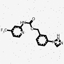 O=C(Nc1cc(C(F)(F)F)ccn1)OCc1cccc(-n2cn[nH]2)c1